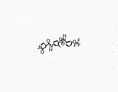 Cc1cc(NC(=O)c2ccn(C)c(=O)c2)ccc1S(=O)(=O)Nc1cccc(OC(F)(F)F)c1